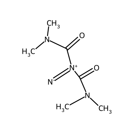 CN(C)C(=O)[N+](=[N-])C(=O)N(C)C